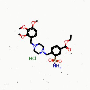 CCOC(=O)c1ccc(CN2CCN(Cc3ccc(OC)c(OC)c3OC)CC2)c(S(N)(=O)=O)c1.Cl